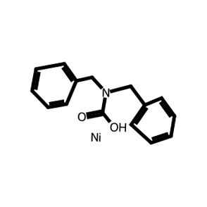 O=C(O)N(Cc1ccccc1)Cc1ccccc1.[Ni]